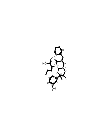 CCCC(NC(=O)C(Cc1ccccc1)CN1CCC(C)(c2cccc(O)c2)C(C)C1)C(=O)O